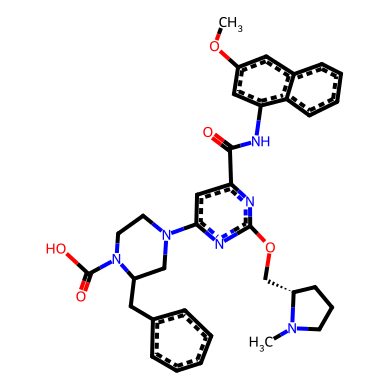 COc1cc(NC(=O)c2cc(N3CCN(C(=O)O)C(Cc4ccccc4)C3)nc(OC[C@@H]3CCCN3C)n2)c2ccccc2c1